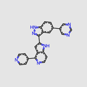 c1cc(-c2nccc3[nH]c(-c4n[nH]c5ccc(-c6cncnc6)cc45)cc23)ccn1